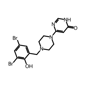 O=c1cc(N2CCN(Cc3cc(Br)cc(Br)c3O)CC2)nc[nH]1